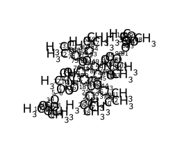 CO[Si](COCCOC(=O)C(C(C)C)N1C(=O)c2cc(Oc3ccc(C(C)(C)C)cc3)c3c4c(Oc5ccc(C(C)(C)C)cc5)cc5c6c(cc(Oc7ccc(C(C)(C)C)cc7)c(c7c(Oc8ccc(C(C)(C)C)cc8)cc(c2c37)C1=O)c64)C(=O)N(C(C(=O)OCCOC[Si](OC)(OC)OC)C(C)C)C5=O)(OC)OC